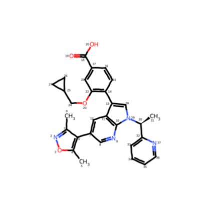 Cc1noc(C)c1-c1cnc2c(c1)c(-c1ccc(C(=O)O)cc1OCC1CC1)cn2[C@@H](C)c1ccccn1